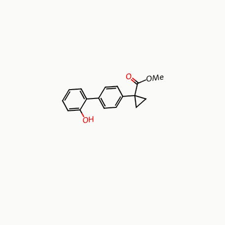 COC(=O)C1(c2ccc(-c3ccccc3O)cc2)CC1